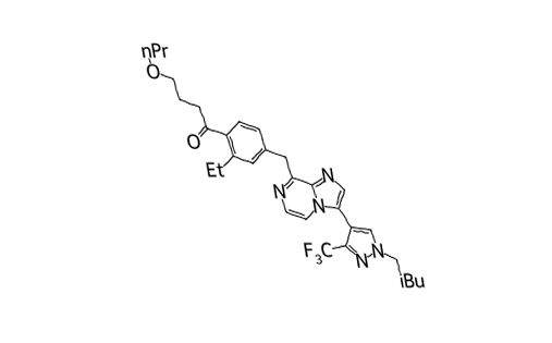 CCCOCCCC(=O)c1ccc(Cc2nccn3c(-c4cn(CC(C)CC)nc4C(F)(F)F)cnc23)cc1CC